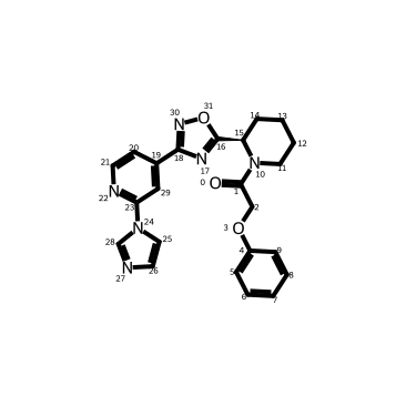 O=C(COc1ccccc1)N1CCCC[C@@H]1c1nc(-c2ccnc(-n3ccnc3)c2)no1